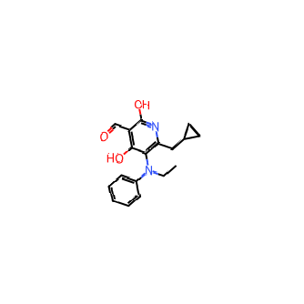 CCN(c1ccccc1)c1c(CC2CC2)nc(O)c(C=O)c1O